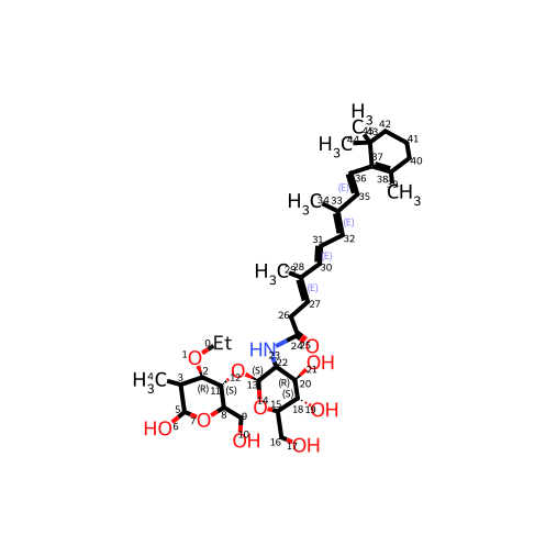 CCO[C@@H]1C(C)C(O)OC(CO)[C@H]1O[C@@H]1OC(CO)[C@@H](O)[C@H](O)C1NC(=O)C/C=C(C)/C=C/C=C(C)/C=C/C1=C(C)CCCC1(C)C